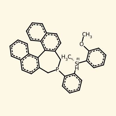 COc1ccccc1[Si@@H](C)c1ccccc1P1Cc2ccc3ccccc3c2-c2c(ccc3ccccc23)C1